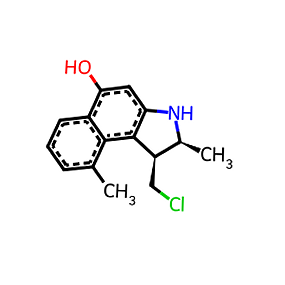 Cc1cccc2c(O)cc3c(c12)[C@H](CCl)[C@H](C)N3